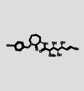 CCC(C)C=C[C@@H](O)[C@H](O)[C@@H](O)[C@@H](OC)C(=O)N[C@H]1CCCCN(Cc2ccc(C(C)(C)C)cc2)C1=O